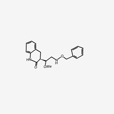 COC(CNOCc1ccccc1)[C@@H]1Cc2ccccc2NC1=O